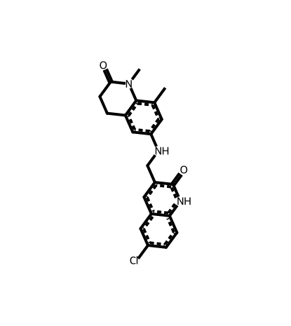 Cc1cc(NCc2cc3cc(Cl)ccc3[nH]c2=O)cc2c1N(C)C(=O)CC2